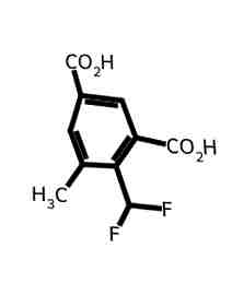 Cc1cc(C(=O)O)cc(C(=O)O)c1C(F)F